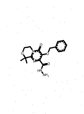 CC1(C)OCCn2c1nc(C(=O)NN)c(OCc1ccccc1)c2=O